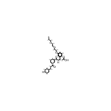 O=C(O)C[C@H](NC(=O)[C@@H]1CCCN(C(=O)CCC2CCNCC2)C1)c1cccc(OCCOCCOCCF)c1